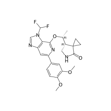 COc1ccc(-c2cc3ncn(C(F)F)c3c(O[C@H](C)[C@H]3CNC(=O)C34CC4)n2)cc1OC